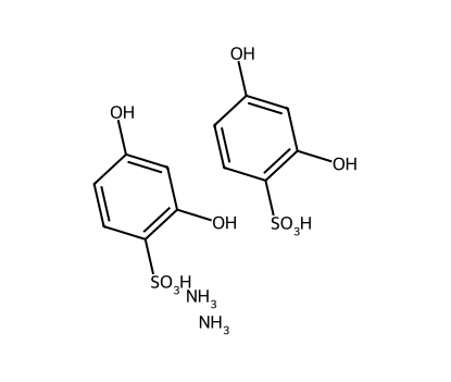 N.N.O=S(=O)(O)c1ccc(O)cc1O.O=S(=O)(O)c1ccc(O)cc1O